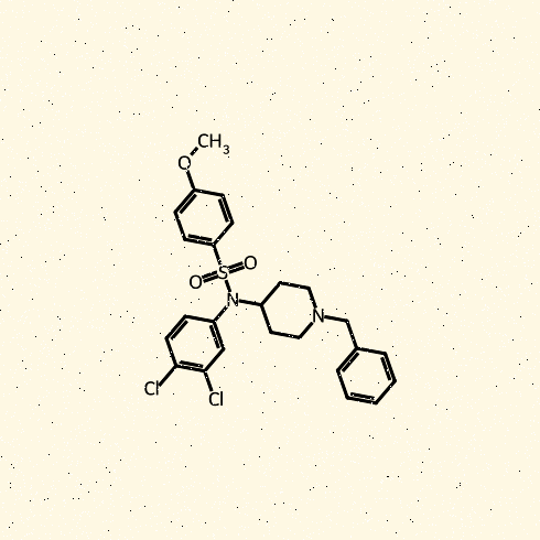 COc1ccc(S(=O)(=O)N(c2ccc(Cl)c(Cl)c2)C2CCN(Cc3ccccc3)CC2)cc1